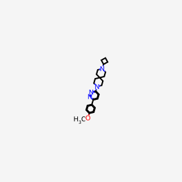 COc1ccc(-c2ccc(N3CCC4(CC3)CCN(C3CCC3)CC4)nn2)cc1